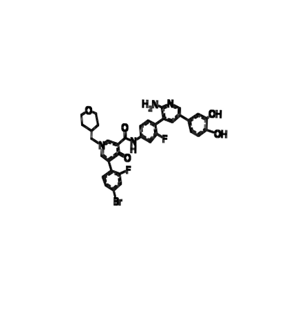 Nc1ncc(-c2ccc(O)c(O)c2)cc1-c1ccc(NC(=O)c2cn(CC3CCOCC3)cc(-c3ccc(Br)cc3F)c2=O)cc1F